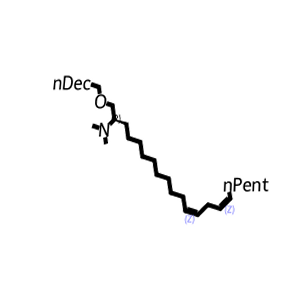 CCCCC/C=C\C/C=C\CCCCCCCCC[C@H](COCCCCCCCCCCC)N(C)C